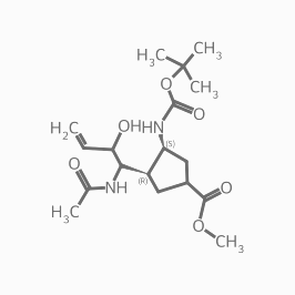 C=CC(O)C(NC(C)=O)[C@@H]1CC(C(=O)OC)C[C@@H]1NC(=O)OC(C)(C)C